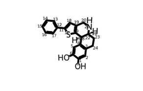 Oc1cc2c(cc1O)[C@H]1c3sc(-c4ccccc4)cc3CN[C@@H]1CC2